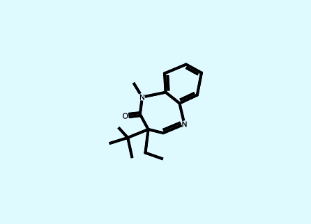 CCC1(C(C)(C)C)C=Nc2ccccc2N(C)C1=O